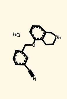 Cl.N#Cc1cccc(COc2cccc3c2CCNC3)c1